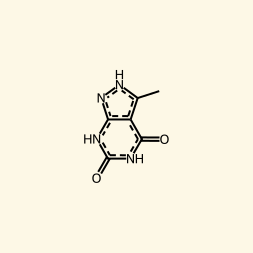 Cc1[nH]nc2[nH]c(=O)[nH]c(=O)c12